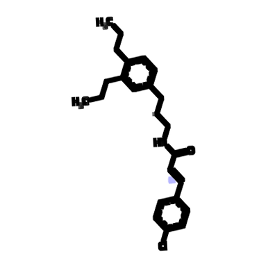 CCCc1ccc(C[CH]CNC(=O)/C=C/c2ccc(Cl)cc2)cc1CCC